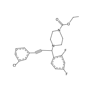 CCOC(=O)N1CCN(C(C#Cc2cccc(Cl)c2)c2ccc(F)cc2F)CC1